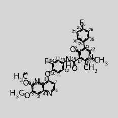 COc1cc2nccc(Oc3ccc(NC(=O)c4c(C)n(C)cc(-c5ccc(F)cc5)c4=O)cc3F)c2nc1OC